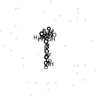 CCC1C(=O)N(C)c2cnc(C3C(OC)=CC=CC3(N)C(=O)NC3(CCO)CCC4(CC3)CN(CC3(F)CCN(c5ccc(C6CCC(=O)NC6=O)cc5F)CC3)C4)nc2N1C1CCCC1